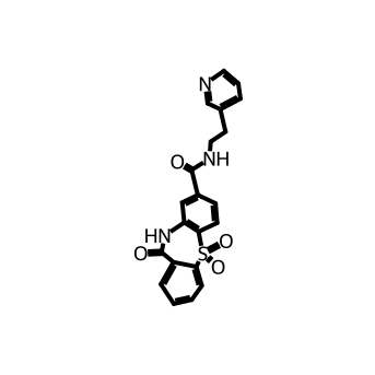 O=C(NCCc1cccnc1)c1ccc2c(c1)NC(=O)c1ccccc1S2(=O)=O